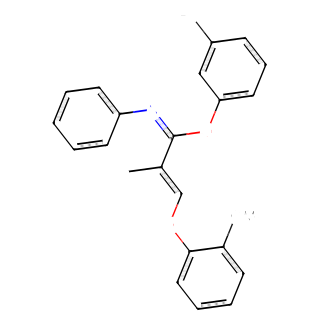 CCc1cccc(OC(=Nc2ccccc2)C(C)=COc2ccccc2OC)c1